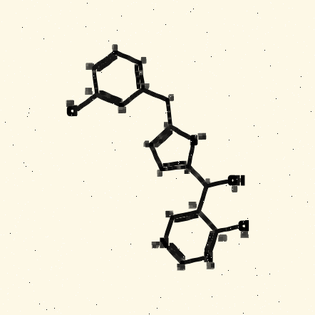 OC(c1ccc(Cc2cccc(Cl)c2)s1)c1cncnc1Cl